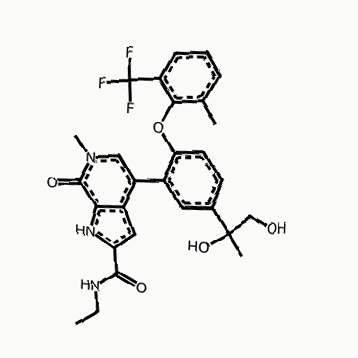 CCNC(=O)c1cc2c(-c3cc(C(C)(O)CO)ccc3Oc3c(C)cccc3C(F)(F)F)cn(C)c(=O)c2[nH]1